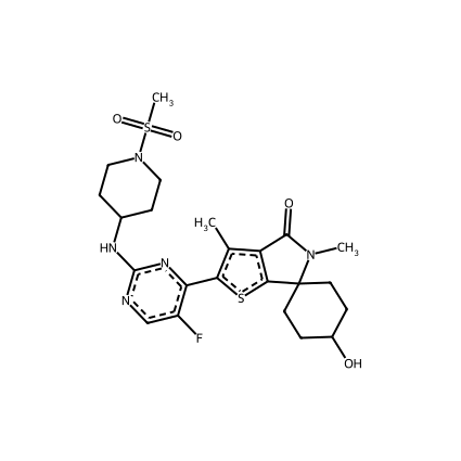 Cc1c(-c2nc(NC3CCN(S(C)(=O)=O)CC3)ncc2F)sc2c1C(=O)N(C)C21CCC(O)CC1